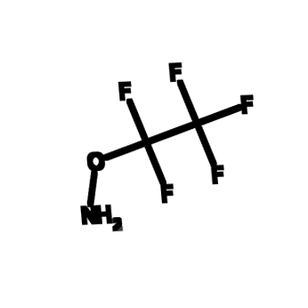 NOC(F)(F)C(F)(F)F